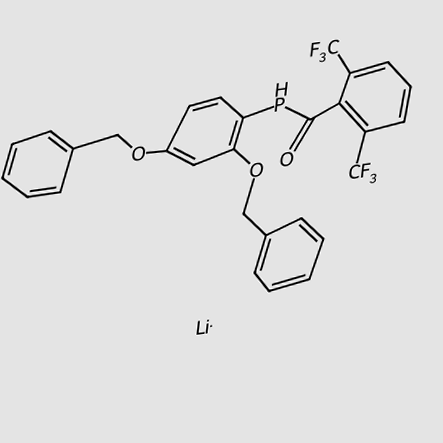 O=C(Pc1ccc(OCc2ccccc2)cc1OCc1ccccc1)c1c(C(F)(F)F)cccc1C(F)(F)F.[Li]